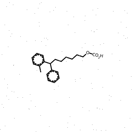 Cc1ccccc1C(CCCCCCOC(=O)O)c1ccccc1